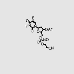 CC(=O)OC1CC(n2cc(F)c(=O)[nH]c2=O)OC1COP(=O)(N=O)OCCC#N